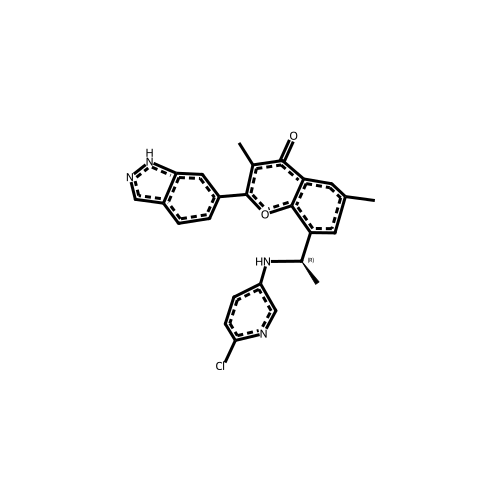 Cc1cc([C@@H](C)Nc2ccc(Cl)nc2)c2oc(-c3ccc4cn[nH]c4c3)c(C)c(=O)c2c1